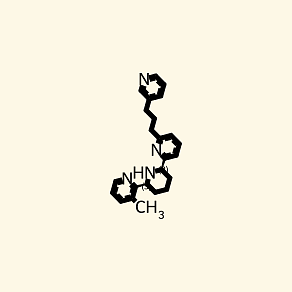 Cc1cccnc1[C@@H]1CCC[C@H](c2cccc(CCCc3cccnc3)n2)N1